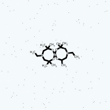 CCN1CC(C)[O][Sn]2([O]C(C)(C)C1)[O]C(C)(C)CN(CC)CC(C)(C)[O]2